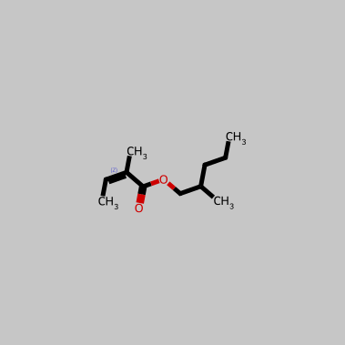 C/C=C(/C)C(=O)OCC(C)CCC